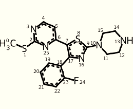 CSc1nccc(-c2sc(N3CCNCC3)nc2-c2ccccc2F)n1